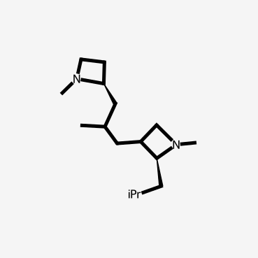 CC(C)C[C@H]1C(CC(C)C[C@@H]2CCN2C)CN1C